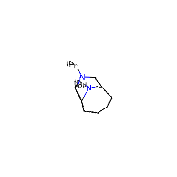 CC(C)N1CC2CCCCC(C1)N2C(C)(C)C